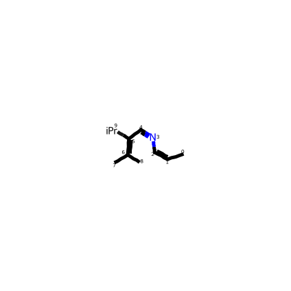 C/C=C\N=C/C(=C(C)C)C(C)C